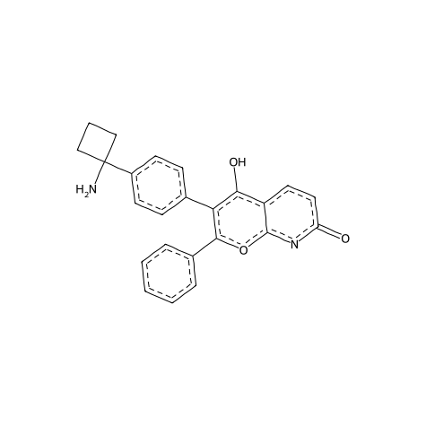 NC1(c2ccc(-c3c(-c4ccccc4)oc4nc(=O)ccc-4c3O)cc2)CCC1